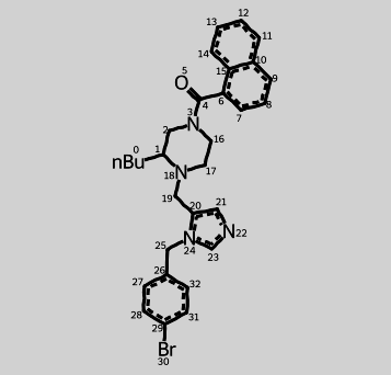 CCCCC1CN(C(=O)c2cccc3ccccc23)CCN1Cc1cncn1Cc1ccc(Br)cc1